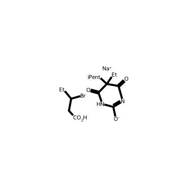 CCC(Br)CC(=O)O.CCCC(C)C1(CC)C(=O)N=C([O-])NC1=O.[Na+]